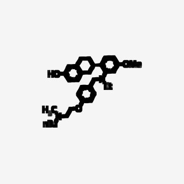 CCCCN(C)CCOc1ccc(CN(CC)c2cc(OC)ccc2[C@@H]2CCc3cc(O)ccc3C2)cc1